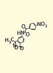 Cc1noc(=O)c2ccc(NC(=O)C(=O)c3ccc([N+](=O)[O-])cc3)cc12